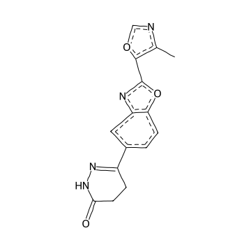 Cc1ncoc1-c1nc2cc(C3=NNC(=O)CC3)ccc2o1